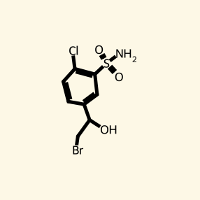 NS(=O)(=O)c1cc(C(O)CBr)ccc1Cl